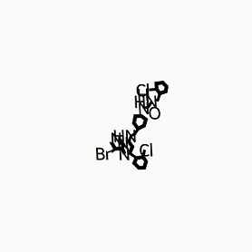 O=C(NCc1ccccc1Cl)Nc1ccc(CNc2cc(-c3ccccc3Cl)nc3c(Br)cnn23)cc1